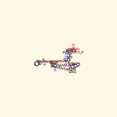 COc1cc2c(cc1OCCCCCOc1cc3c(cc1OC)C(=O)N1Cc4ccccc4C[C@H]1[C@H](O)N3C(=O)OCc1ccc(NC(=O)[C@H](CO[C@@H]3O[C@H](C(=O)O)[C@@H](O)[C@H](O)[C@H]3O)NC(=O)[C@@H](NC(C)=O)C(C)C)cc1NC(=O)CCOCCOCCOCCOCCNC(=O)OCC1[C@H]3CCC#CCC[C@@H]13)NC[C@@H]1CC3(CC3)CN1C2=O